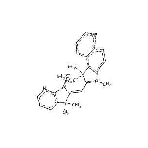 CN1C(=CC2=[N+](C)c3ccc4ncccc4c3C2(C)C)C(C)(C)c2cccnc21